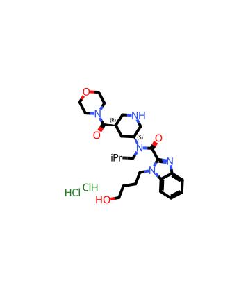 CC(C)CN(C(=O)c1nc2ccccc2n1CCCCO)[C@@H]1CNC[C@H](C(=O)N2CCOCC2)C1.Cl.Cl